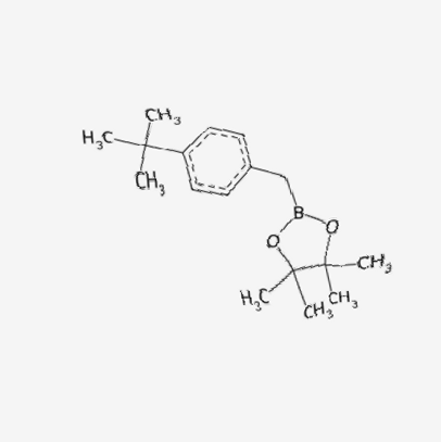 CC(C)(C)c1ccc(CB2OC(C)(C)C(C)(C)O2)cc1